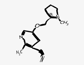 Cc1ncc(OC[C@H]2CCCN2C)cc1C#N